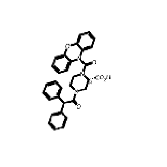 O=C(O)[C@@H]1CN(C(=O)C(c2ccccc2)c2ccccc2)CCN1C(=O)N1c2ccccc2Oc2ccccc21